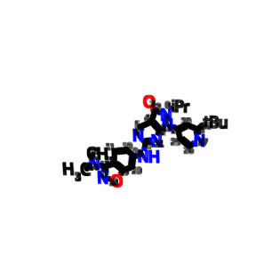 CC(C)n1c(=O)c2cnc(Nc3ccc4c(N(C)C)noc4c3)nc2n1-c1ccnc(C(C)(C)C)c1